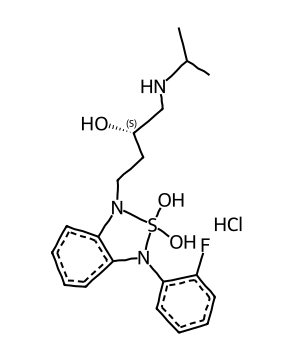 CC(C)NC[C@@H](O)CCN1c2ccccc2N(c2ccccc2F)S1(O)O.Cl